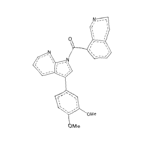 COc1ccc(-c2cn(C(=O)c3cccc4ccncc34)c3ncccc23)cc1OC